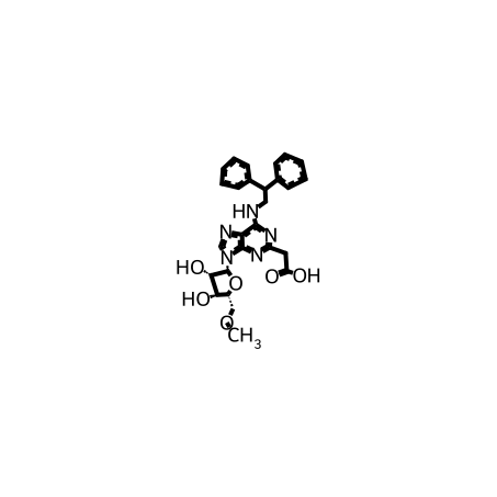 COC[C@H]1O[C@@H](n2cnc3c(NCC(c4ccccc4)c4ccccc4)nc(CC(=O)O)nc32)[C@@H](O)[C@@H]1O